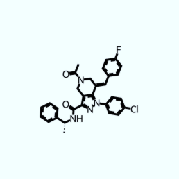 CC(=O)N1C/C(=C\c2ccc(F)cc2)c2c(c(C(=O)N[C@H](C)c3ccccc3)nn2-c2ccc(Cl)cc2)C1